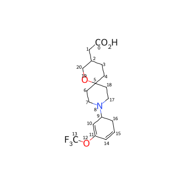 O=C(O)CC1CCC2(CCN(C3C=C(OC(F)(F)F)C=CC3)CC2)OC1